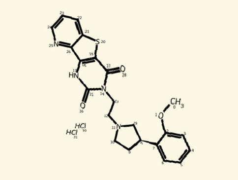 COc1ccccc1[C@H]1CCN(CCn2c(=O)[nH]c3c(sc4cccnc43)c2=O)C1.Cl.Cl